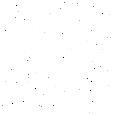 CCC(C)(CC(C)(C)C)NC(=O)CCSC